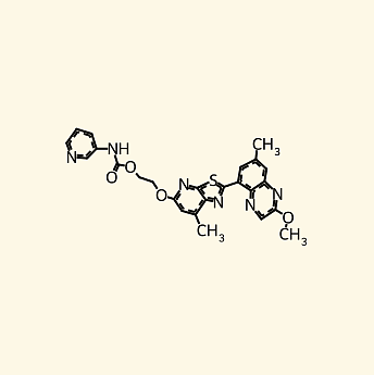 COc1cnc2c(-c3nc4c(C)cc(OCCOC(=O)Nc5cccnc5)nc4s3)cc(C)cc2n1